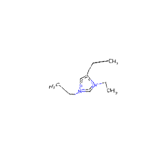 CCc1cn(CC)c[n+]1CC